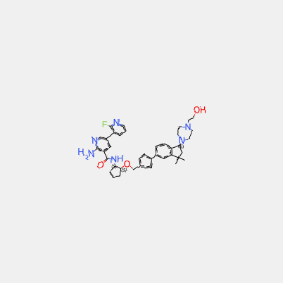 CC1(C)C[C@H](N2CCN(CCO)CC2)c2ccc(-c3ccc(CO[C@H]4CCC[C@@H]4NC(=O)c4cc(-c5cccnc5F)cnc4N)cc3)cc21